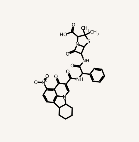 CC1(C)SC2C(NC(=O)C(NC(=O)c3cn4c5c(ccc([N+](=O)[O-])c5c3=O)C3CCCCC34)c3ccccc3)C(=O)N2C1C(=O)O